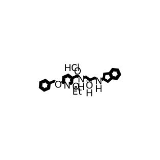 CCOc1nc(OCc2ccccc2)ccc1C(=O)NC[C@@H](O)CNC1Cc2ccccc2C1.Cl